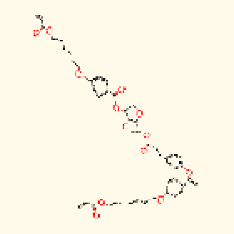 C=CC(=O)OCCCCCCOc1ccc(C(=C)Oc2ccc(/C=C/C(=O)O[C@H]3COC4C3OC[C@H]4OC(=O)c3ccc(OCCCCCCOC(=O)C=C)cc3)cc2)cc1